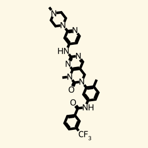 Cc1ccc(NC(=O)c2cccc(C(F)(F)F)c2)cc1N1Cc2cnc(Nc3ccnc(N4CCN(C)CC4)c3)nc2N(C)C1=O